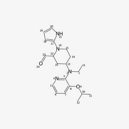 CCN(c1ncccc1OC(C)C)C1CCN(c2ccc[nH]2)C(C=O)C1